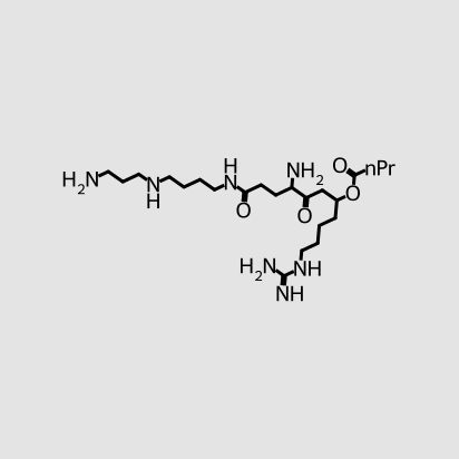 CCCC(=O)OC(CCCCNC(=N)N)CC(=O)C(N)CCC(=O)NCCCCNCCCN